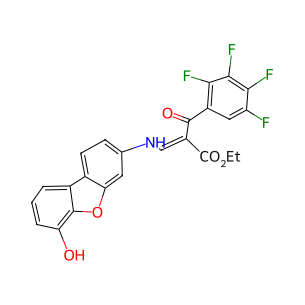 CCOC(=O)C(=CNc1ccc2c(c1)oc1c(O)cccc12)C(=O)c1cc(F)c(F)c(F)c1F